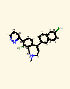 CN1CC=C(c2ccc3cc(F)ccc3c2)c2ccc(-c3cccnn3)c(F)c2C1